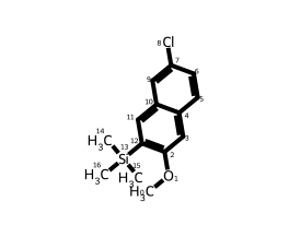 COc1cc2ccc(Cl)cc2cc1[Si](C)(C)C